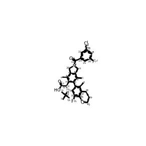 Cc1c(-c2c(C)c3c(c(C)c2[C@H](OC(C)(C)C)C(=O)O)CN(C(=O)c2cc(F)cc(Cl)c2)C3)cc(F)c2c1CCCO2